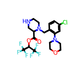 O=C(OC(C(F)(F)F)C(F)(F)F)C1CNCCN1Cc1ccc(Cl)cc1N1CCOCC1